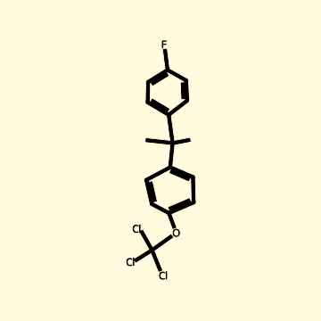 CC(C)(c1ccc(F)cc1)c1ccc(OC(Cl)(Cl)Cl)cc1